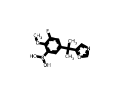 COc1c(F)cc(C(C)(C)c2cnco2)cc1B(O)O